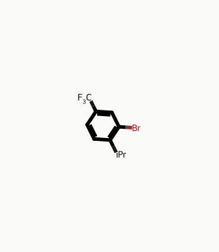 CC(C)c1ccc(C(F)(F)F)cc1Br